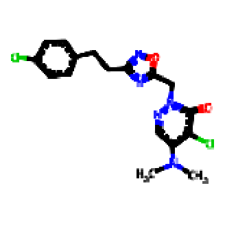 CN(C)c1cnn(Cc2nc(CCc3ccc(Cl)cc3)no2)c(=O)c1Cl